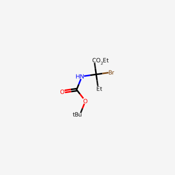 CCOC(=O)C(Br)(CC)NC(=O)OC(C)(C)C